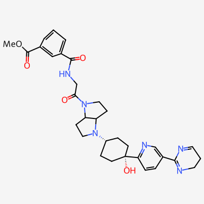 COC(=O)c1cccc(C(=O)NCC(=O)N2CCC3C2CCN3[C@H]2CC[C@](O)(c3ccc(C4=NCCC=N4)cn3)CC2)c1